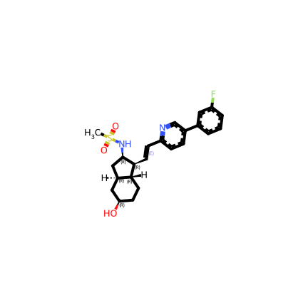 CS(=O)(=O)N[C@@H]1C[C@@H]2C[C@H](O)CC[C@H]2[C@@H]1/C=C/c1ccc(-c2cccc(F)c2)cn1